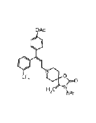 C=C1N(CCC)C(=O)OC12CCN(CC=C(c1ccc(OC(C)=O)cc1)c1cccc(C(F)(F)F)c1)CC2